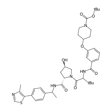 Cc1ncsc1-c1ccc(C(C)NC(=O)[C@@H]2C[C@@H](O)CN2C(=O)C(NC(=O)c2cccc(OC3CCN(C(=O)OC(C)(C)C)CC3)c2)C(C)(C)C)cc1